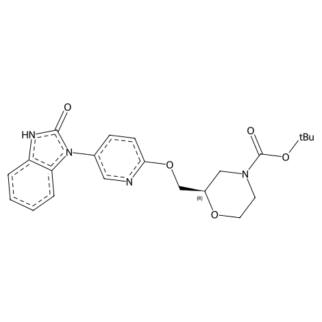 CC(C)(C)OC(=O)N1CCO[C@@H](COc2ccc(-n3c(=O)[nH]c4ccccc43)cn2)C1